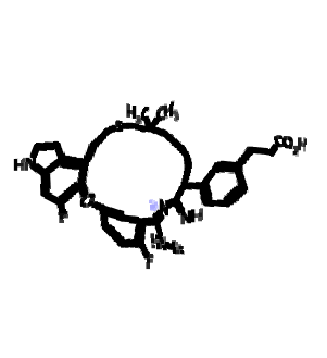 CCN/C1=N\C(=N)C(c2cccc(CCC(=O)O)c2)CCCC(C)(C)CSCCc2c(c(F)cc3[nH]ccc23)Oc2ccc(F)c1c2